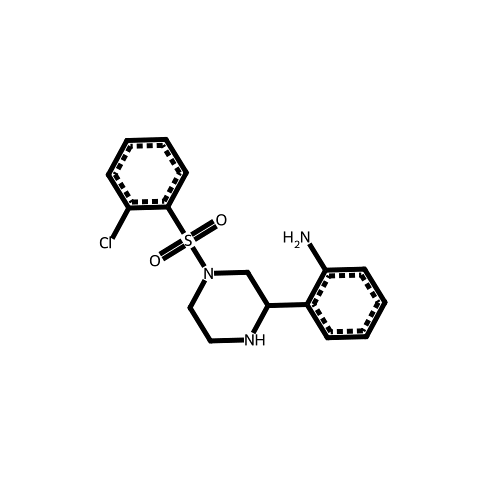 Nc1ccccc1C1CN(S(=O)(=O)c2ccccc2Cl)CCN1